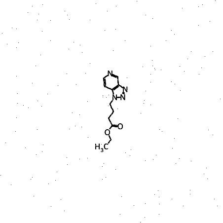 CCOC(=O)CCCn1nnc2cnccc21